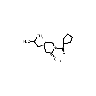 C[C](C)CN1CCN(C(=O)C2CCCC2)[C@@H](C)C1